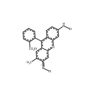 CC/N=c1\cc2oc3cc(NCC)ccc3c(-c3ccccc3C(=O)OCC)c-2cc1C